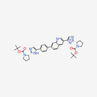 CC(C)(C)OC(=O)N1CCC[C@H]1c1ncc(-c2ccc(-c3ccc4cc(-c5cnc([C@@H]6CCCN6C(=O)OC(C)(C)C)[nH]5)cnc4c3)cc2)[nH]1